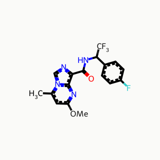 COc1cc(C)n2cnc(C(=O)NC(c3ccc(F)cc3)C(F)(F)F)c2n1